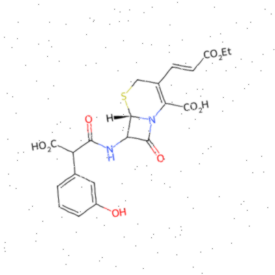 CCOC(=O)C=CC1=C(C(=O)O)N2C(=O)C(NC(=O)C(C(=O)O)c3cccc(O)c3)[C@@H]2SC1